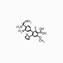 COc1cc(-n2cccn2)c(-c2ccc(/C(N)=C\N)c(N)c2)c(F)c1B(O)O